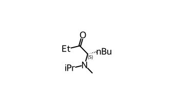 CCCC[C@@H](C(=O)CC)N(C)C(C)C